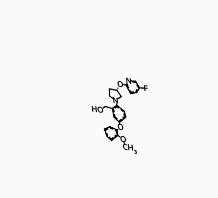 COc1ccccc1Oc1ccc(N2CC[C@H](Oc3ccc(F)cn3)C2)c(CO)c1